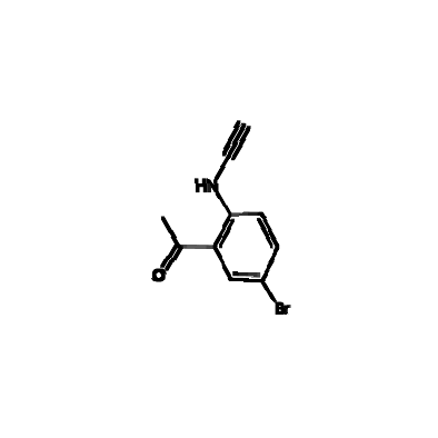 C#CNc1ccc(Br)cc1C(C)=O